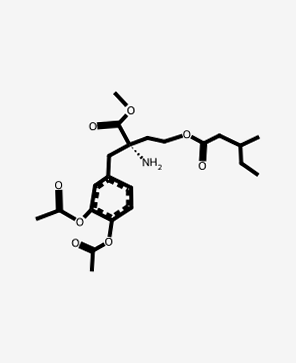 CCC(C)CC(=O)OCC[C@@](N)(Cc1ccc(OC(C)=O)c(OC(C)=O)c1)C(=O)OC